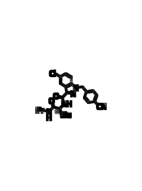 CC(C)NC(=O)[C@@H](NC(=O)c1nn(Cc2ccc(C#N)cc2)c2ccc(Cl)cc12)C(C)(C)C